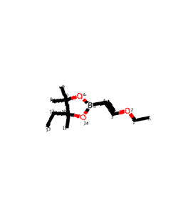 CCO/C=C/B1OC(C)(C)C(C)(CC)O1